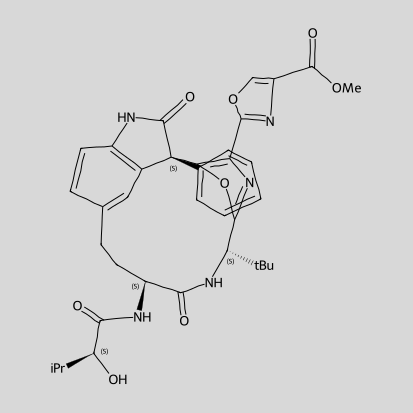 COC(=O)c1coc(-c2nc3oc2[C@@]2(c4ccccc4)C(=O)Nc4ccc(cc42)CC[C@H](NC(=O)[C@@H](O)C(C)C)C(=O)N[C@H]3C(C)(C)C)n1